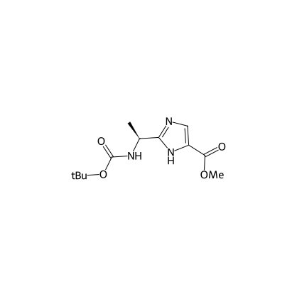 COC(=O)c1cnc([C@H](C)NC(=O)OC(C)(C)C)[nH]1